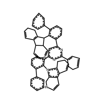 C1=CCCC(c2nc(-c3cccc(-c4ccccc4)c3C3C4=C(C=CCC4)C4C=CN=CC43)cc(-c3cccc(-c4ccccc4)c3-n3c4c(c5c3CNC=C5)C=CCC4)n2)=C1